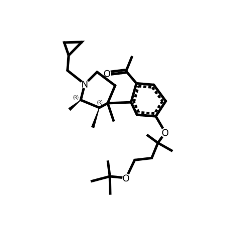 CC(=O)c1ccc(OC(C)(C)CCOC(C)(C)C)cc1C1(C)CCN(CC2CC2)[C@H](C)[C@@H]1C